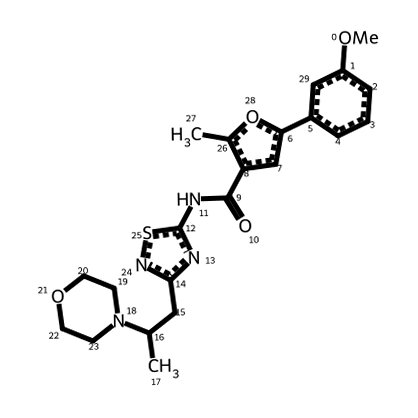 COc1cccc(-c2cc(C(=O)Nc3nc(CC(C)N4CCOCC4)ns3)c(C)o2)c1